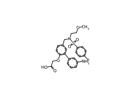 COCCN(Cc1ccc(OCC(=O)O)c(-c2cccc(N)c2)c1)S(=O)(=O)c1ccc(F)cc1